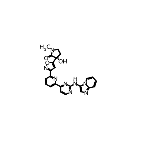 CN1CC[C@@](O)(c2cc(-c3cccc(-c4ccnc(Nc5cnc6ccccn56)n4)n3)no2)C1=O